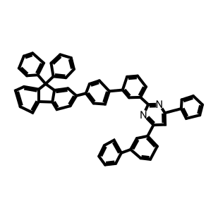 c1ccc(-c2cccc(-c3cc(-c4ccccc4)nc(-c4cccc(-c5ccc(-c6ccc7c(c6)C(c6ccccc6)(c6ccccc6)c6ccccc6-7)cc5)c4)n3)c2)cc1